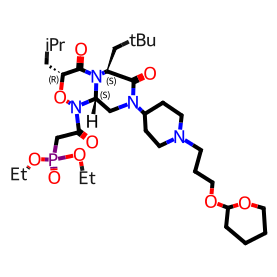 CCOP(=O)(CC(=O)N1O[C@H](CC(C)C)C(=O)N2[C@@H]1CN(C1CCN(CCCOC3CCCCO3)CC1)C(=O)[C@@H]2CC(C)(C)C)OCC